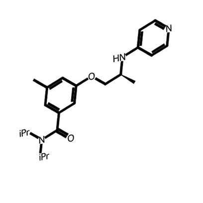 Cc1cc(OC[C@H](C)Nc2ccncc2)cc(C(=O)N(C(C)C)C(C)C)c1